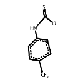 FC(F)(F)c1ccc(NC(=S)Cl)cc1